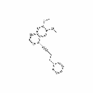 COc1cc2ncnc(C#CCCc3ccccc3)c2cc1OC